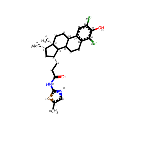 CO[C@H]1C[C@@H](CCC(=O)Nc2ncc(C)s2)C2C3CCc4c(cc(Br)c(O)c4Br)C3CC[C@@]21C